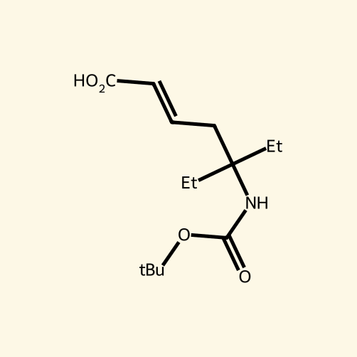 CCC(CC)(CC=CC(=O)O)NC(=O)OC(C)(C)C